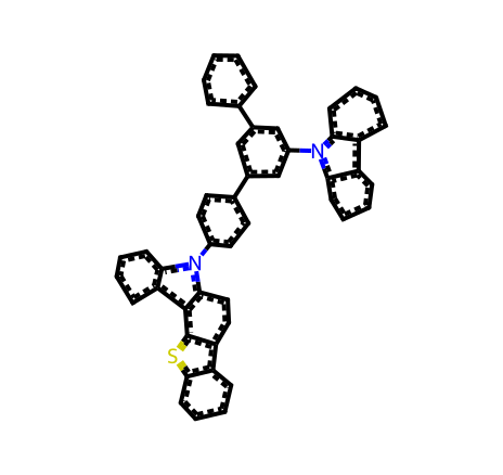 c1ccc(-c2cc(-c3ccc(-n4c5ccccc5c5c6sc7ccccc7c6ccc54)cc3)cc(-n3c4ccccc4c4ccccc43)c2)cc1